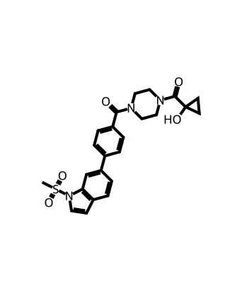 CS(=O)(=O)n1ccc2ccc(-c3ccc(C(=O)N4CCN(C(=O)C5(O)CC5)CC4)cc3)cc21